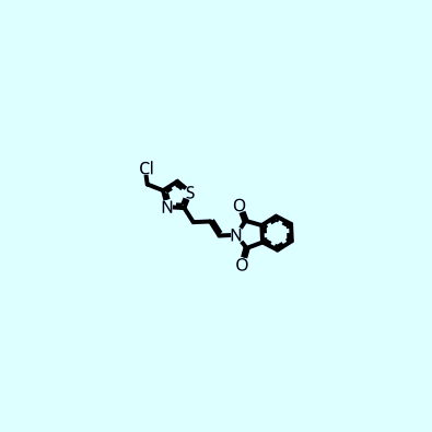 O=C1c2ccccc2C(=O)N1C=CCc1nc(CCl)cs1